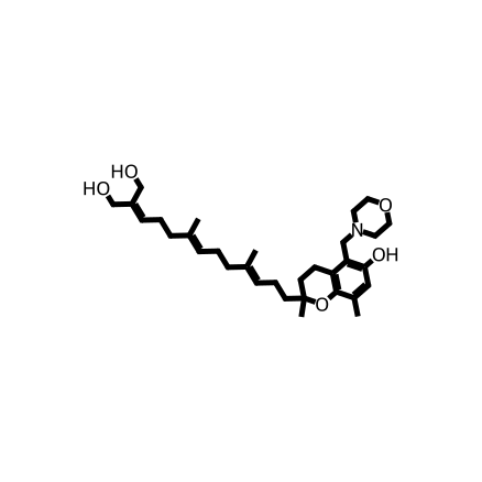 C/C(=C\CC/C(C)=C/CCC1(C)CCc2c(CN3CCOCC3)c(O)cc(C)c2O1)CCC=C(CO)CO